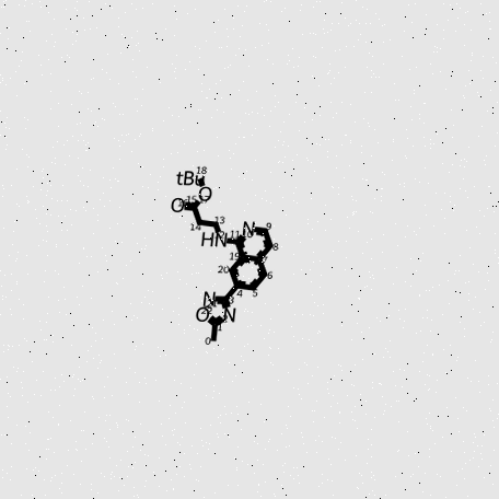 Cc1nc(-c2ccc3ccnc(NCCC(=O)OC(C)(C)C)c3c2)no1